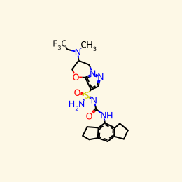 CN(CC(F)(F)F)C1COc2c(S(N)(=O)=NC(=O)Nc3c4c(cc5c3CCC5)CCC4)cnn2C1